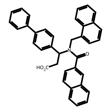 O=C(O)CC(c1ccc(-c2ccccc2)cc1)N(Cc1cccc2ccccc12)C(=O)c1ccc2ccccc2c1